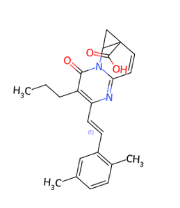 CCCc1c(/C=C/c2cc(C)ccc2C)nc2n(c1=O)C1CC1(C(=O)O)C=C2